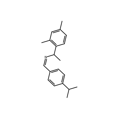 Cc1ccc(C(C)/N=C\c2ccc(C(C)C)cc2)c(C)c1